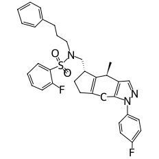 C[C@@H]1C2=C(CC[C@@H]2CN(CCCc2ccccc2)S(=O)(=O)c2ccccc2F)Cc2c1cnn2-c1ccc(F)cc1